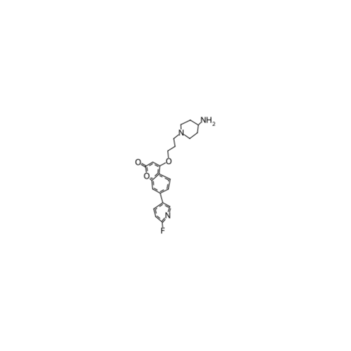 NC1CCN(CCCOc2cc(=O)oc3cc(-c4ccc(F)nc4)ccc23)CC1